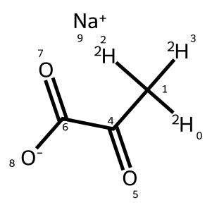 [2H]C([2H])([2H])C(=O)C(=O)[O-].[Na+]